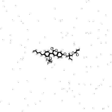 C=CC(=O)OCC(C)(CC)COc1ccc2cc(-c3ccc(CCCCC)cc3OC(F)(F)F)c(=O)oc2c1